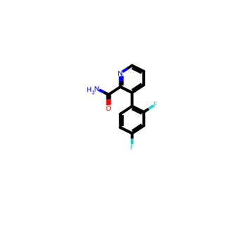 NC(=O)c1ncccc1-c1ccc(F)cc1F